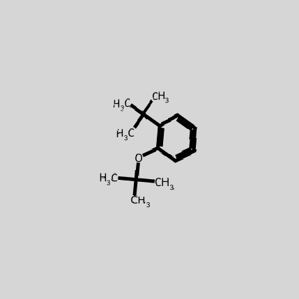 CC(C)(C)OC1=C(C(C)(C)C)C=C=C=C1